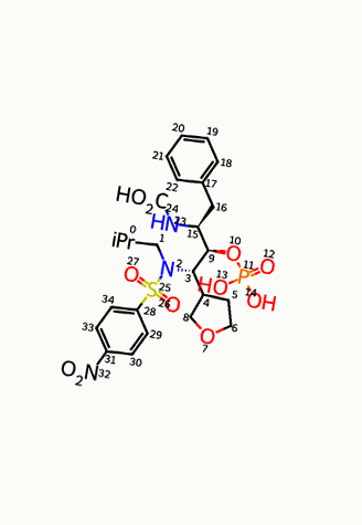 CC(C)CN([C@@H](C1CCOC1)[C@H](OP(=O)(O)O)[C@H](Cc1ccccc1)NC(=O)O)S(=O)(=O)c1ccc([N+](=O)[O-])cc1